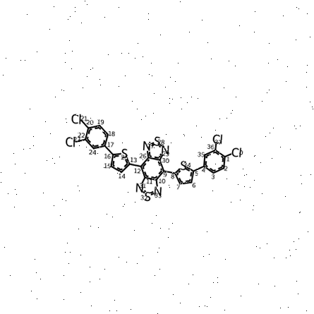 Clc1ccc(-c2ccc(-c3c4c(c(-c5ccc(-c6ccc(Cl)c(Cl)c6)s5)c5nsnc35)N=S=N4)s2)cc1Cl